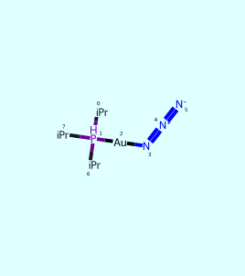 CC(C)[PH]([Au][N]=[N+]=[N-])(C(C)C)C(C)C